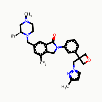 Cc1ccn(CC2(c3cccc(N4Cc5c(cc(CN6CCN(C)C[C@@H]6C(C)C)cc5C(F)(F)F)C4=O)c3)COC2)n1